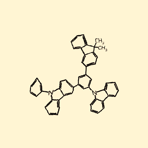 CC1(C)c2ccccc2-c2cc(-c3cc(-c4ccc5c(c4)c4ccccc4n5-c4ccccc4)cc(-n4c5ccccc5c5ccccc54)c3)ccc21